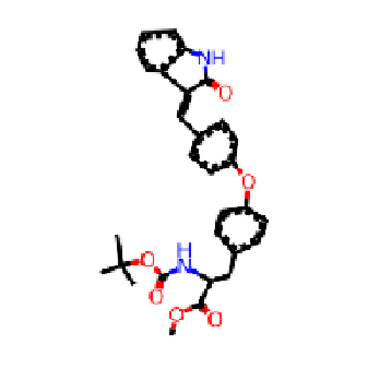 COC(=O)C(Cc1ccc(Oc2ccc(C=C3C(=O)Nc4ccccc43)cc2)cc1)NC(=O)OC(C)(C)C